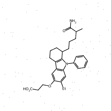 CCc1cc2c(cc1OCCC(=O)O)c1c(n2-c2ccccc2)C(CCCC(C)C(N)=O)CCC1